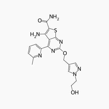 Cc1cccc(-c2nc(OCc3cnn(CCO)c3)nc3sc(C(N)=O)c(N)c23)n1